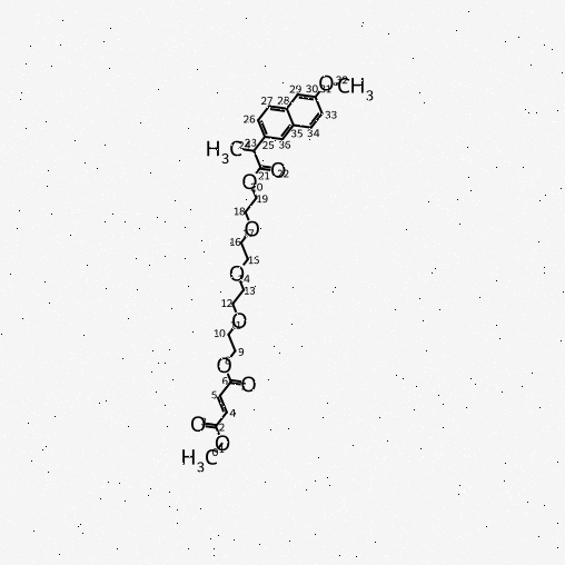 COC(=O)C=CC(=O)OCCOCCOCCOCCOC(=O)C(C)c1ccc2cc(OC)ccc2c1